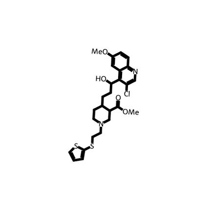 COC(=O)C1CN(CCSc2cccs2)CCC1CCC(O)c1c(Cl)cnc2ccc(OC)cc12